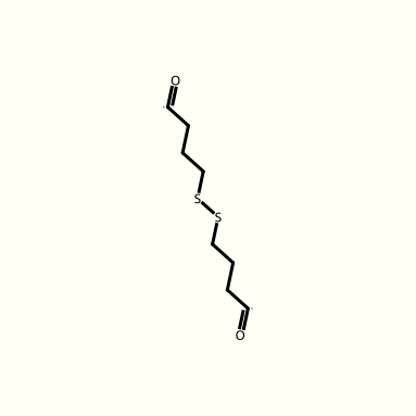 O=[C]CCCSSCCC[C]=O